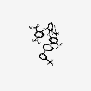 O=C(O)c1cc([N+](=O)[O-])ccc1Oc1ccccc1Oc1cc(N2CCN(c3cccc(C(F)(F)F)c3)CC2)c([N+](=O)[O-])cc1C(F)(F)F